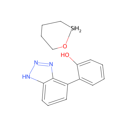 C1CC[SiH2]OC1.Oc1ccccc1-c1cccc2[nH]nnc12